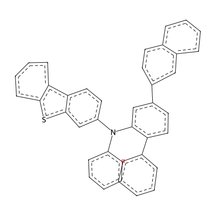 c1ccc(-c2ccc(-c3ccc4ccccc4c3)cc2N(c2ccccc2)c2ccc3c(c2)sc2ccccc23)cc1